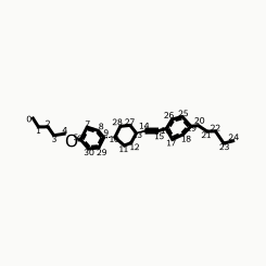 CCCCCOc1ccc([C@H]2CC[C@H](C#Cc3ccc(CCCCC)cc3)CC2)cc1